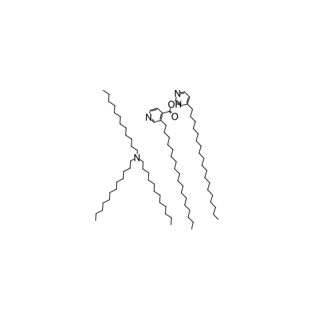 CCCCCCCCCCCCCCCCCCCc1ccncc1.CCCCCCCCCCCCCCCCCCc1cnccc1C(=O)O.CCCCCCCCCCCCN(CCCCCCCCCCCC)CCCCCCCCCCCC